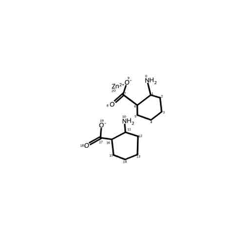 NC1CCCCC1C(=O)[O-].NC1CCCCC1C(=O)[O-].[Zn+2]